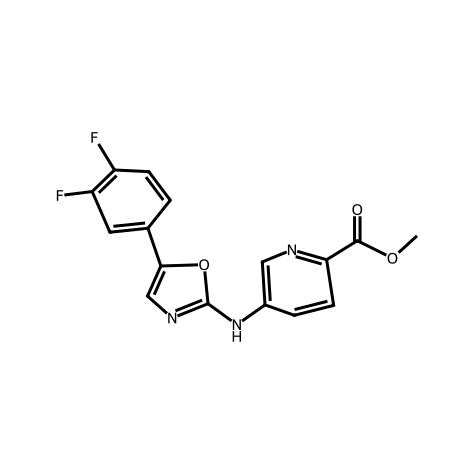 COC(=O)c1ccc(Nc2ncc(-c3ccc(F)c(F)c3)o2)cn1